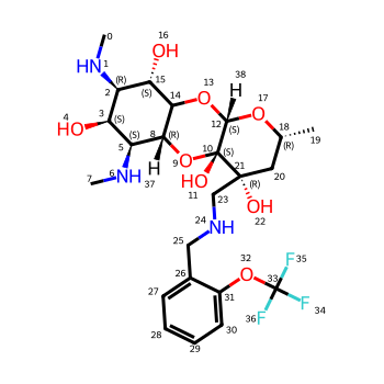 CN[C@@H]1[C@H](O)[C@H](NC)[C@H]2O[C@]3(O)[C@H](OC2[C@H]1O)O[C@H](C)C[C@@]3(O)CNCc1ccccc1OC(F)(F)F